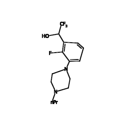 CCCN1CCN(c2cccc(C(O)C(F)(F)F)c2F)CC1